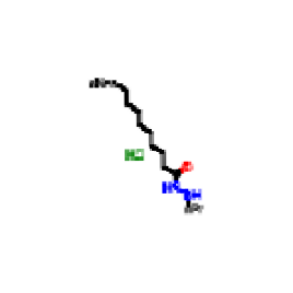 CCCCCCCCCCCCCCCCCC(=O)NNCCC.Cl